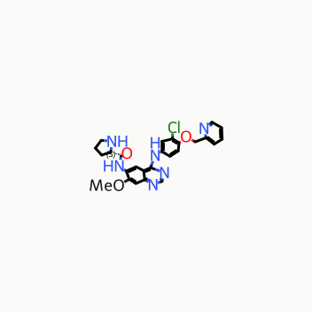 COc1cc2ncnc(Nc3ccc(OCc4ccccn4)c(Cl)c3)c2cc1NC(=O)[C@@H]1CCCN1